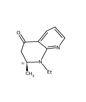 CCN1c2ncccc2C(=O)C[C@@H]1C